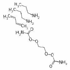 C=CC=C.CCCN.CCCN.NC(=O)OOCCOOC(N)=O